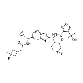 CC(C)(O)c1nonc1C(=O)N[C@H](c1cn2ncc([C@H](NC(=O)CC3CC(F)(F)C3)C3CC3)cc2n1)C1CCC(F)(F)CC1